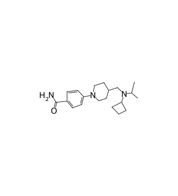 CC(C)N(CC1CCN(c2ccc(C(N)=O)cc2)CC1)C1CCC1